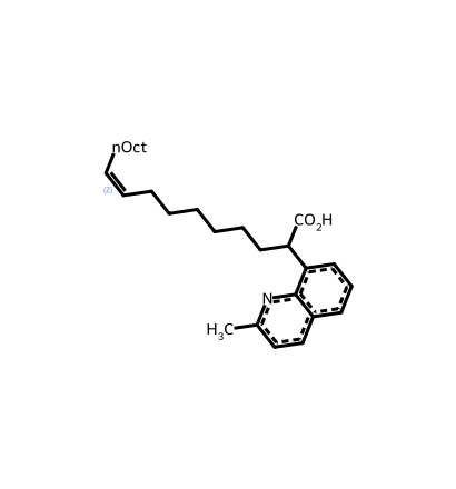 CCCCCCCC/C=C\CCCCCCC(C(=O)O)c1cccc2ccc(C)nc12